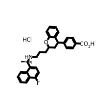 C[C@@H](NCCCC1CC(c2ccc(C(=O)O)cc2)c2ccccc2O1)c1ccc(F)c2ccccc12.Cl